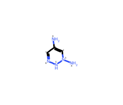 NC1=CN(N)NN=C1